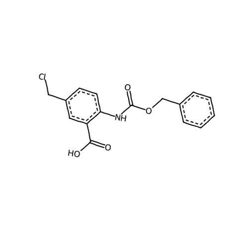 O=C(Nc1ccc(CCl)cc1C(=O)O)OCc1ccccc1